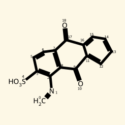 C=Nc1c(S(=O)(=O)O)ccc2c1C(=O)c1ccccc1C2=O